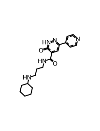 O=C(NCCCNC1CCCCC1)c1cc(-c2ccncc2)n[nH]c1=O